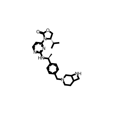 CC(C)[C@H]1COC(=O)N1c1ccnc(N[C@@H](C)c2ccc(CN3CCC4CNC4C3)cc2)n1